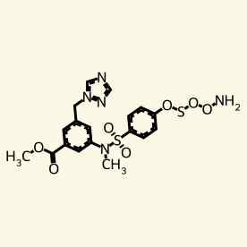 COC(=O)c1cc(Cn2cncn2)cc(N(C)S(=O)(=O)c2ccc(OSOON)cc2)c1